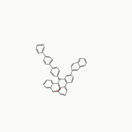 c1ccc(-c2ccc(-c3ccc(N(c4cc(-c5ccc6ccccc6c5)ccc4-c4ccccc4)c4cccc5ccccc45)cc3)cc2)cc1